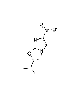 CC(C)C1Cn2cc([N+](=O)[O-])nc2O1